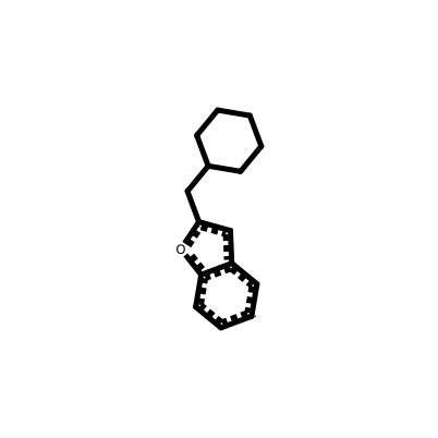 [c]1ccc2oc(CC3CCCCC3)cc2c1